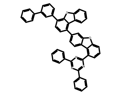 c1ccc(-c2cccc(-c3ccc(-c4ccc5c(c4)oc4cccc(-c6nc(-c7ccccc7)nc(-c7ccccc7)n6)c45)c4c3sc3ccccc34)c2)cc1